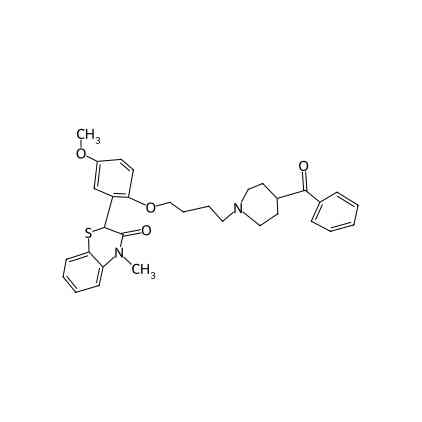 COc1ccc(OCCCCN2CCC(C(=O)c3ccccc3)CC2)c(C2Sc3ccccc3N(C)C2=O)c1